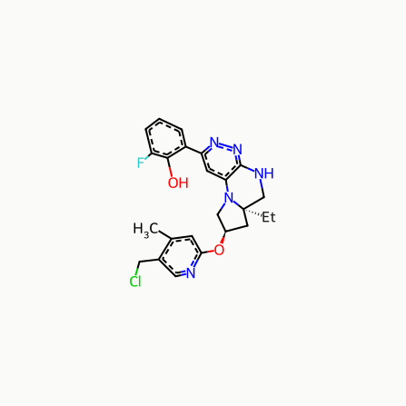 CC[C@@]12CNc3nnc(-c4cccc(F)c4O)cc3N1C[C@H](Oc1cc(C)c(CCl)cn1)C2